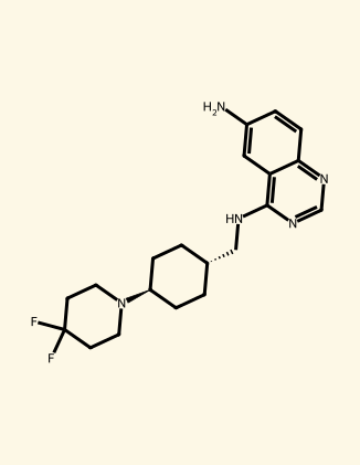 Nc1ccc2ncnc(NC[C@H]3CC[C@H](N4CCC(F)(F)CC4)CC3)c2c1